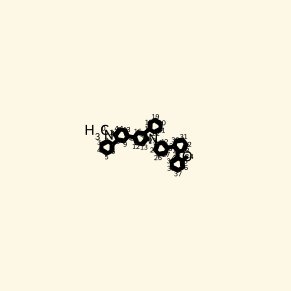 Cn1c2ccccc2c2cc(-c3ccc4c(c3)c3ccccc3n4-c3cccc(-c4cccc5oc6ccccc6c45)c3)ccc21